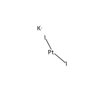 [I][Pt][I].[K]